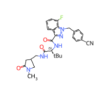 CN1CC(CNC(=O)[C@@H](NC(=O)c2nn(Cc3ccc(C#N)cc3)c3c(F)cccc23)C(C)(C)C)CC1=O